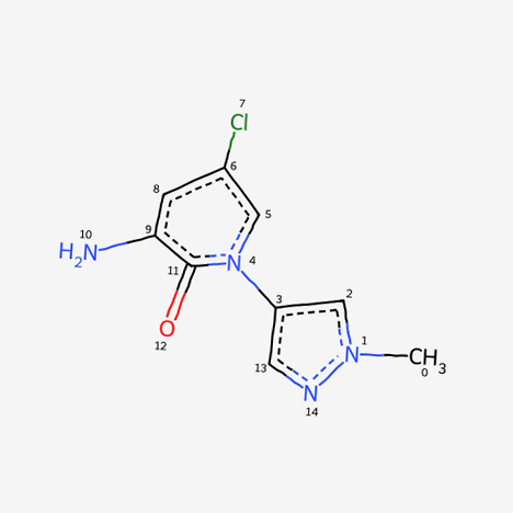 Cn1cc(-n2cc(Cl)cc(N)c2=O)cn1